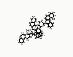 C1=Cc2c(ccc(C3N=C(c4ccccc4)N=C(C4=CC5C=Cc6ccccc6C5C=C4)N3)c2-n2c3c(c4cc5ccccc5cc42)C=C(n2c4ccccc4c4c5ccccc5ccc42)CC3)CC1